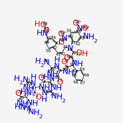 N=C(N)NC(NC(=O)C(NC(=N)N)NC(=O)C(NC(=N)N)NC(=O)C(NC(=N)N)NC(=O)C(NC(=O)C(O)N(C/C=C\c1ccc(NOO)cc1)c1cc(N)c([N+](=O)[O-])cc1[N+](=O)[O-])c1ccccc1)C(N)=O